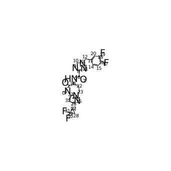 CN1C(=O)[C@@H](NC(=O)c2ncn(Cc3ccc(F)c(F)c3)n2)CCn2nc([C@@H]3CC3(F)F)cc21